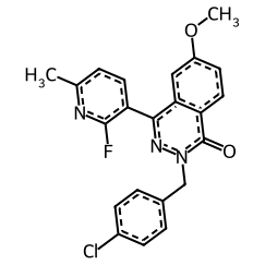 COc1ccc2c(=O)n(Cc3ccc(Cl)cc3)nc(-c3ccc(C)nc3F)c2c1